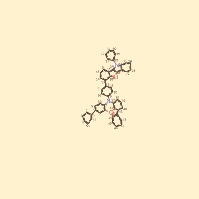 c1ccc(-c2ccc(N(c3ccc(-c4cccc5c4oc4c6ccccc6n(-c6ccccc6)c54)cc3)c3cccc4c3oc3ccccc34)cc2)cc1